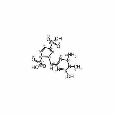 CN1C(O)=NC(Nc2cc(S(=O)(=O)O)ccc2S(=O)(=O)O)=NC1N